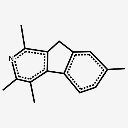 Cc1ccc2c(c1)Cc1c(C)nc(C)c(C)c1-2